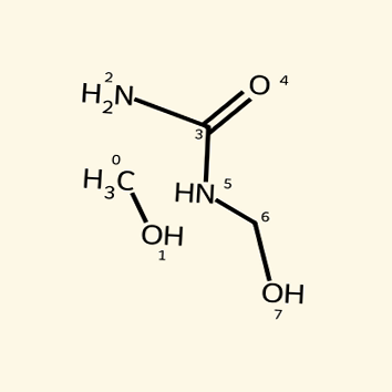 CO.NC(=O)NCO